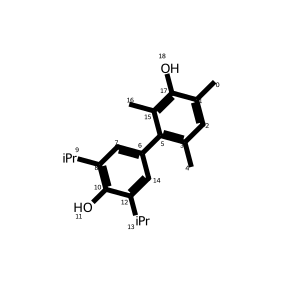 Cc1cc(C)c(-c2cc(C(C)C)c(O)c(C(C)C)c2)c(C)c1O